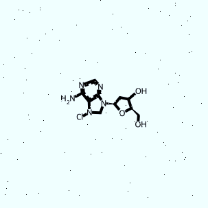 Nc1ncnc2c1N(Cl)CN2[C@H]1CC(O)[C@@H](CO)O1